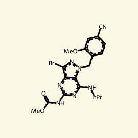 CCCNc1nc(NC(=O)OC)nc2c(Br)nn(Cc3ccc(C#N)cc3OC)c12